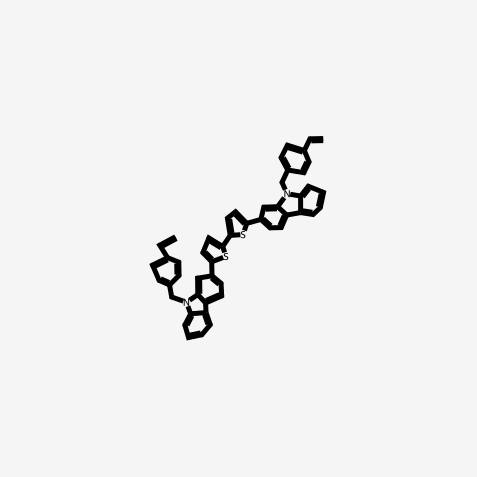 C=Cc1ccc(Cn2c3ccccc3c3ccc(-c4ccc(-c5ccc(-c6ccc7c8ccccc8n(Cc8ccc(C=C)cc8)c7c6)s5)s4)cc32)cc1